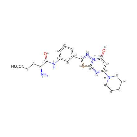 N[C@@H](CCC(=O)O)C(=O)Nc1cccc(-c2nn3c(=O)cc(N4CCCCC4)nc3s2)c1